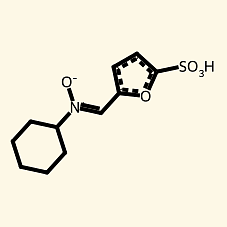 O=S(=O)(O)c1ccc(C=[N+]([O-])C2CCCCC2)o1